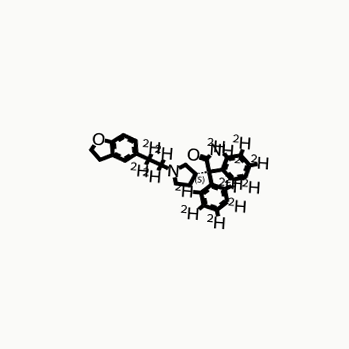 [2H]c1c([2H])c([2H])c(C(C(N)=O)(c2c([2H])c([2H])c([2H])c([2H])c2[2H])[C@@H]2CCN(C([2H])([2H])C([2H])([2H])c3ccc4c(c3)CCO4)C2)c([2H])c1[2H]